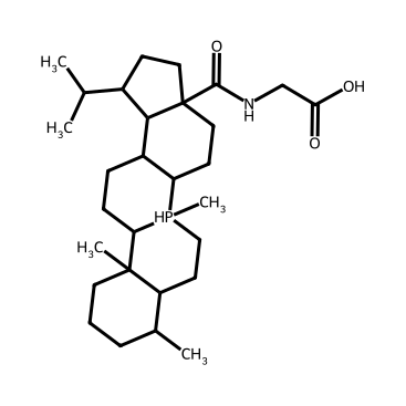 CC(C)C1CCC2(C(=O)NCC(=O)O)CCC3C(CCC4C5(C)CCCC(C)C5CC[PH]34C)C12